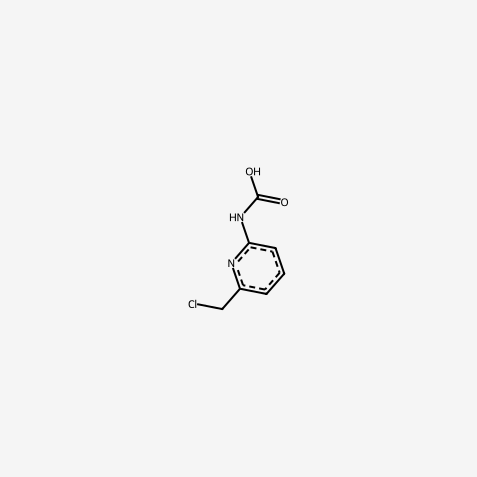 O=C(O)Nc1cccc(CCl)n1